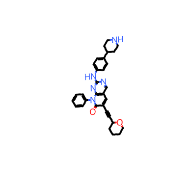 O=c1c(C#CC2CCCCO2)cc2cnc(Nc3ccc(C4CCNCC4)cc3)nc2n1-c1ccccc1